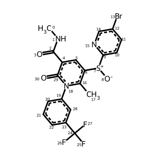 CNC(=O)c1cc([S+]([O-])c2ccc(Br)cn2)c(C)n(-c2cccc(C(F)(F)F)c2)c1=O